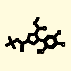 COC(=O)C1CN(C(=O)OC(C)(C)C)CC1c1cc(Cl)c(Cl)cc1O